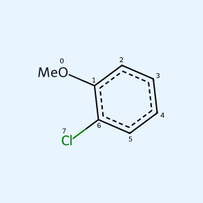 [CH2]Oc1ccccc1Cl